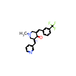 CN1CC(=Cc2cccc(C(F)(F)F)c2)C(=O)/C(=C/c2cccnc2)C1